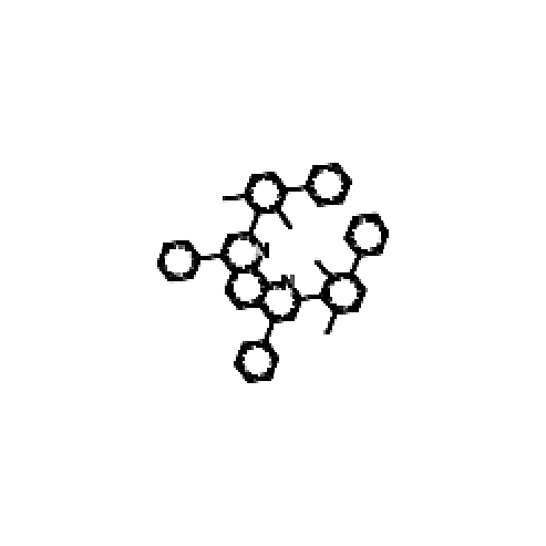 Cc1ccc(-c2ccccc2)c(C)c1-c1cc(-c2ccccc2)c2ccc3c(-c4ccccc4)cc(-c4c(C)ccc(-c5ccccc5)c4C)nc3c2n1